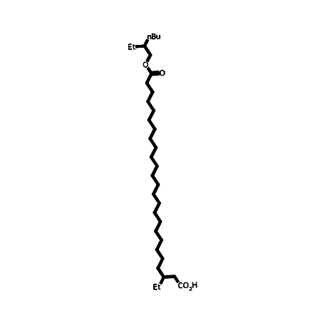 CCCCC(CC)COC(=O)CCCCCCCCCCCCCCCCCCCCCC(CC)CC(=O)O